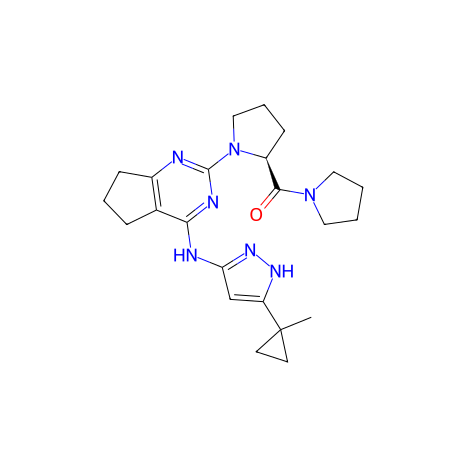 CC1(c2cc(Nc3nc(N4CCC[C@H]4C(=O)N4CCCC4)nc4c3CCC4)n[nH]2)CC1